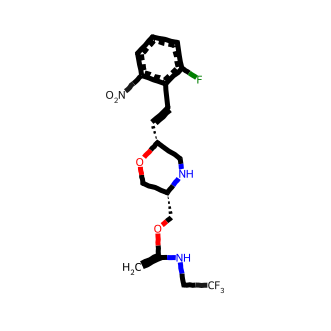 C=C(NCC(F)(F)F)OC[C@@H]1CO[C@H](C=Cc2c(F)cccc2[N+](=O)[O-])CN1